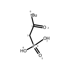 CC(C)(C)C(=O)CP(=O)(O)O